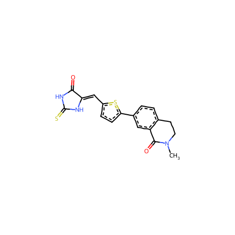 CN1CCc2ccc(-c3ccc(/C=C4\NC(=S)NC4=O)s3)cc2C1=O